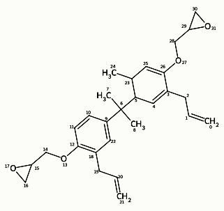 C=CCC1=CC(C(C)(C)c2ccc(OCC3CO3)c(CC=C)c2)C(C)C=C1OCC1CO1